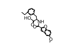 CCc1cccc(CC(NC(=O)c2cc3cc(OC)ccc3o2)C(=O)O)c1